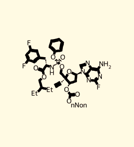 C#C[C@]1(CO[P@@](=O)(N[C@@H](Cc2cc(F)cc(F)c2)C(=O)OCC(CC)CC)Oc2ccccc2)O[C@@H](n2cnc3c(N)nc(F)nc32)C[C@@H]1OC(=O)OCCCCCCCCC